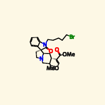 CC[C@H]1CN2CC[C@]3(C(=O)N(CCCCCBr)c4ccccc43)C2C[C@@H]1/C(=C\OC)C(=O)OC